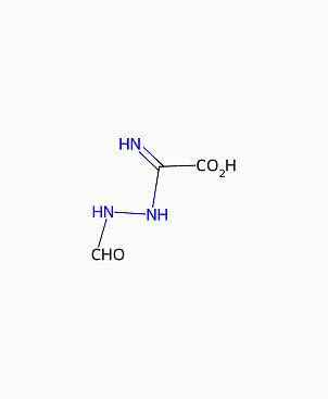 N=C(NNC=O)C(=O)O